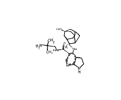 CC(C)(N)CNC(=O)c1cnc2c(c1N[C@H]1C3CC4CC1C[C@@](O)(C4)C3)CCN2